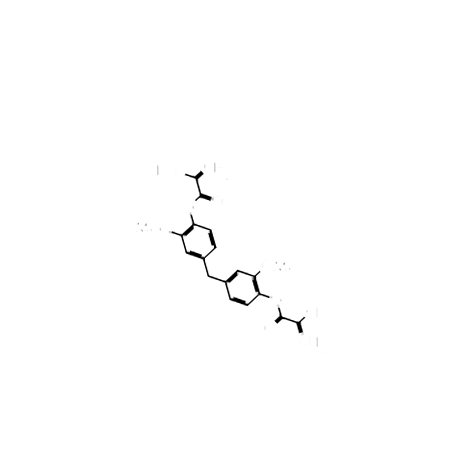 C=C(C)C(=O)Oc1ccc(Cc2ccc(OC(=O)C(=C)C)c(OC)c2)cc1OC